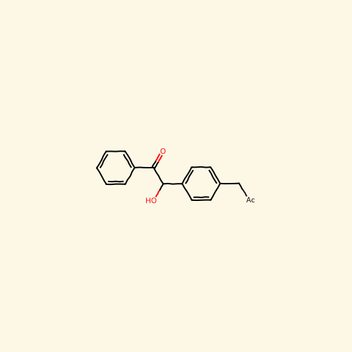 CC(=O)Cc1ccc(C(O)C(=O)c2ccccc2)cc1